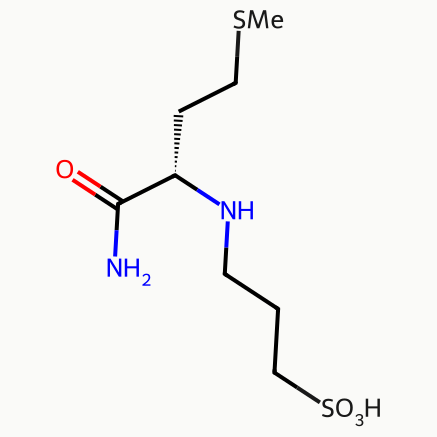 CSCC[C@H](NCCCS(=O)(=O)O)C(N)=O